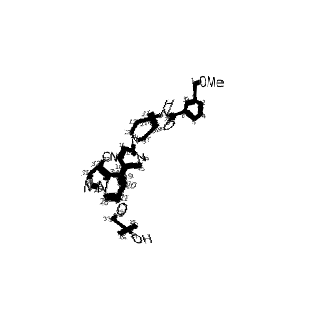 COCc1cccc(C(=O)NC2(C)CCN(c3ccc(-c4cc(OCC(C)(C)O)cn5ncc(C#N)c45)cn3)CC2)c1